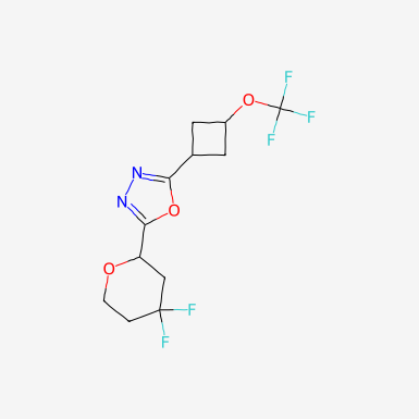 FC1(F)CCOC(c2nnc(C3CC(OC(F)(F)F)C3)o2)C1